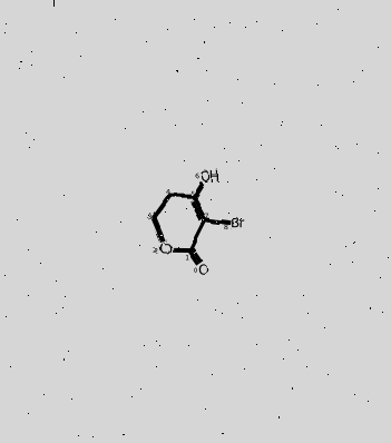 O=C1OCCC(O)=C1Br